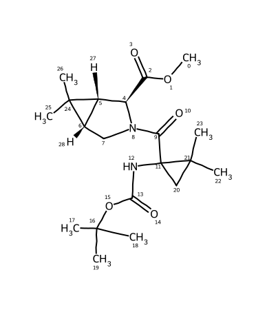 COC(=O)[C@@H]1[C@@H]2[C@H](CN1C(=O)C1(NC(=O)OC(C)(C)C)CC1(C)C)C2(C)C